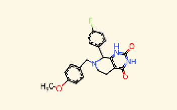 COc1ccc(CN2CCc3c([nH]c(=O)[nH]c3=O)C2c2ccc(F)cc2)cc1